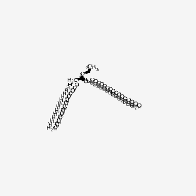 CCOC(C)=O.O.O.O.O.O.O.O.O.O.O.O.O.O.O.O.O.O.O.O.O.O.O.O.O.O.O.O.O.O.O